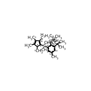 CC1=C(C)C(C)C([Si](C)(C)c2cc(C)cc(C(C)(C)C)c2O[Si](C)(C)C)=C1C